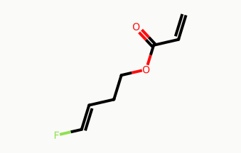 C=CC(=O)OCCC=CF